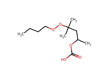 CCCCOOC(C)(C)CC(C)OC(=O)O